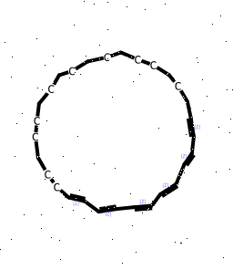 [C]1=C/C=C\C=C/C=C\C=C/C=C\CCCCCCCCCCCCCCCCC\1